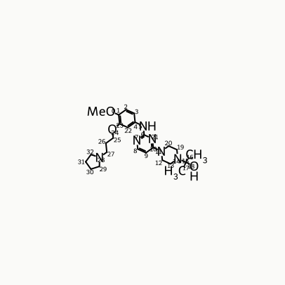 COc1ccc(Nc2nccc(N3CCN(C(C)(C)O)CC3)n2)cc1OCCCN1CCCC1